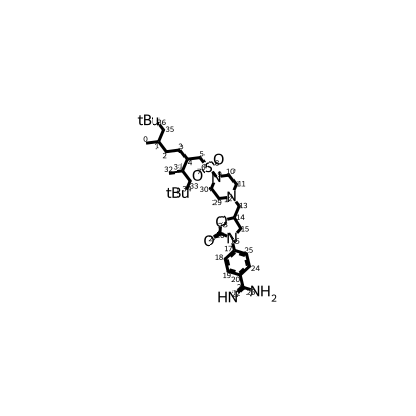 CC(CCC(CS(=O)(=O)N1CCN(CC2CN(c3ccc(C(=N)N)cc3)C(=O)O2)CC1)C(C)CC(C)(C)C)CC(C)(C)C